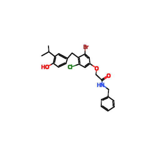 CC(C)c1cc(Cc2c(Cl)cc(OCC(=O)NCc3ccccc3)cc2Br)ccc1O